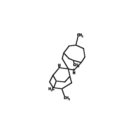 CC1CCC2PC3(CC(C1)CC2C)PC1CCC(C)CC3CC1C